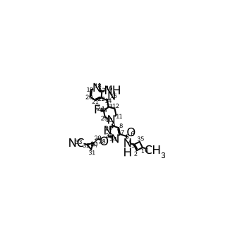 CC1C=C(NC(=O)c2cc(N3CCC(c4n[nH]c5ncccc45)C(F)C3)nc(OC[C@H]3CC3C#N)n2)C1